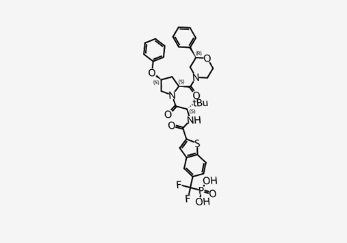 CC(C)(C)[C@H](NC(=O)c1cc2cc(C(F)(F)P(=O)(O)O)ccc2s1)C(=O)N1C[C@@H](Oc2ccccc2)C[C@H]1C(=O)N1CCO[C@H](c2ccccc2)C1